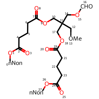 CCCCCCCCCOC(=O)CCCC(=O)OCC(COC)(COC=O)COC(=O)CCCC(=O)OCCCCCCCCC